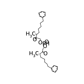 C[C@@H](CCCCCc1ccccc1)C(=O)CO[PH](=O)OCC(=O)[C@@H](C)CCCCCc1ccccc1